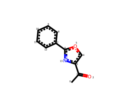 CC(=O)c1coc(-c2ccccc2)n1